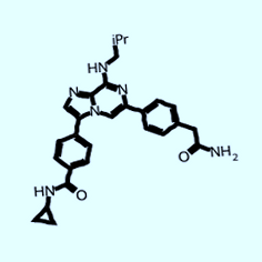 CC(C)CNc1nc(-c2ccc(CC(N)=O)cc2)cn2c(-c3ccc(C(=O)NC4CC4)cc3)cnc12